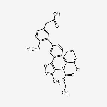 CCOC(=O)N(c1ccccc1Cl)c1c(C)noc1-c1cccc(-c2cc(CC(=O)O)cnc2OC)c1